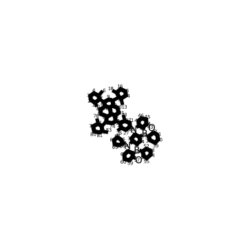 Cc1cccc(C)c1-c1cc(-c2c(C)cccc2C)c2ccc3c(-c4c(C)cc(N5c6cc7c(cc6B6c8ccccc8Oc8cccc5c86)B5c6ccccc6Oc6cccc(c65)N7c5ccccc5)cc4C)cc(-c4c(C)cccc4C)c4ccc1c2c43